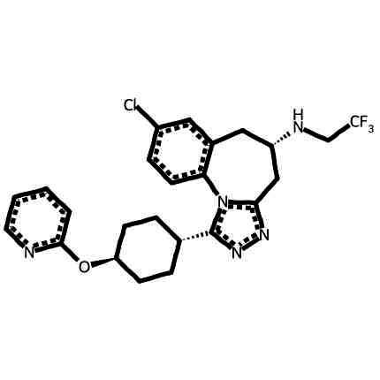 FC(F)(F)CN[C@H]1Cc2cc(Cl)ccc2-n2c(nnc2[C@H]2CC[C@H](Oc3ccccn3)CC2)C1